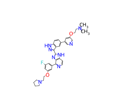 CN(C)CCOc1cncc(-c2ccc3[nH]nc(-c4nc5c(-c6cc(F)cc(OCCN7CCCC7)c6)nccc5[nH]4)c3c2)c1